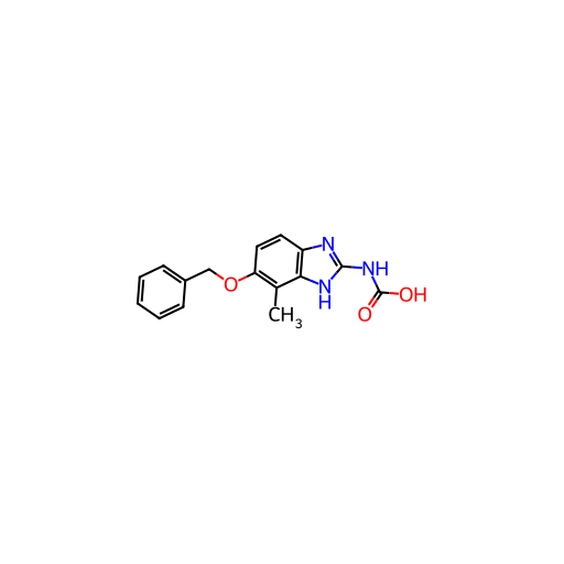 Cc1c(OCc2ccccc2)ccc2nc(NC(=O)O)[nH]c12